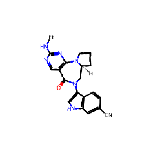 CCNc1ncc2c(n1)N1CCC[C@H]1CN(c1c[nH]c3cc(C#N)ccc13)C2=O